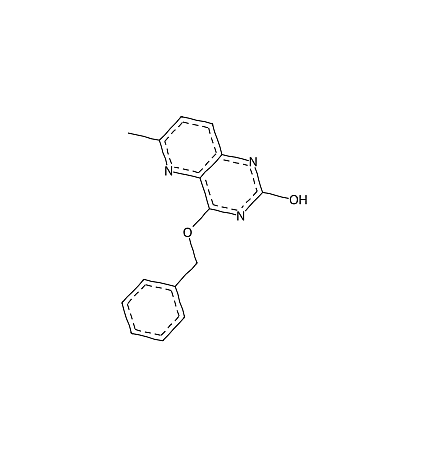 Cc1ccc2nc(O)nc(OCc3ccccc3)c2n1